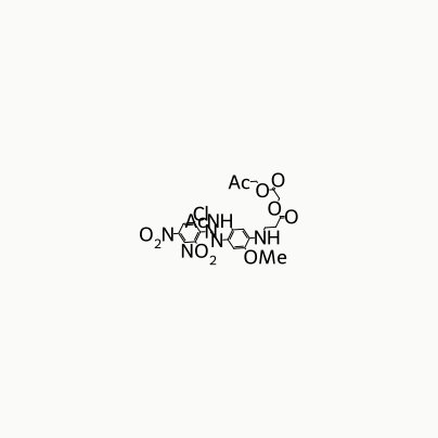 COc1cc(N=Nc2c(Cl)cc([N+](=O)[O-])cc2[N+](=O)[O-])c(NC(C)=O)cc1NCCC(=O)OCC(=O)OCC(C)=O